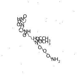 CC(C)(C)OC(=O)N(CCCCCCC(=O)Nc1cccc2c1CN(C1CCC(=O)NC1=O)C2=O)CCOCCOCCOCCN